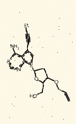 C=CCOC1CC(n2cc(C#CCC)c3c(N)ncnc32)OC1CO